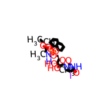 CC(C)OC(=O)[C@@H](C)N[P@@](=O)(OC[C@H]1OC(n2cc(I)c(=O)[nH]c2=O)[C@](C)(O)[C@@H]1O)Oc1cccc2ccccc12